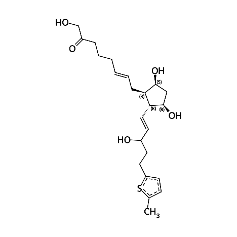 Cc1ccc(CCC(O)C=C[C@@H]2[C@@H](CC=CCCCC(=O)CO)[C@@H](O)C[C@H]2O)s1